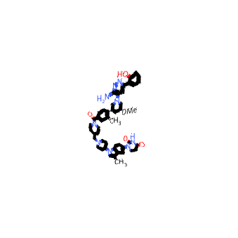 CO[C@@H]1C[C@H](c2ccc(C(=O)N3CCC(CN4CCC(n5cc(C)c6cc(N7CCC(=O)NC7=O)ccc65)CC4)CC3)cc2C)CN(c2cc(-c3ccccc3O)nnc2N)C1